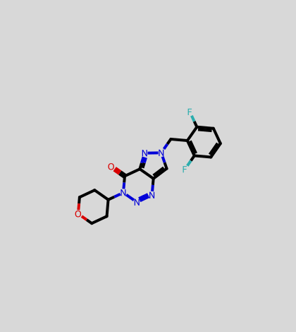 O=c1c2nn(Cc3c(F)cccc3F)cc2nnn1C1CCOCC1